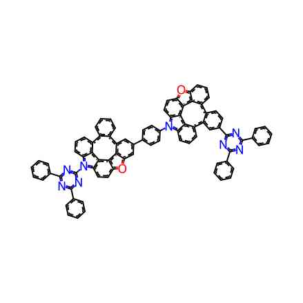 c1ccc(-c2nc(-c3ccccc3)nc(-c3ccc4c(c3)c3cccc5c3c3c6c(ccc3n5-c3ccc(-c5cc7oc8ccc9c%10c8c7c(c5)c5ccccc5c5cccc(c5%10)n9-c5nc(-c7ccccc7)nc(-c7ccccc7)n5)cc3)oc3cccc4c36)n2)cc1